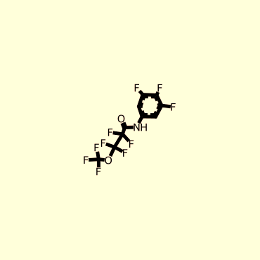 O=C(Nc1cc(F)c(F)c(F)c1)C(F)(F)C(F)(F)OC(F)(F)F